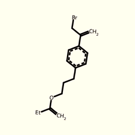 C=C(CC)OCCCc1ccc(C(=C)CBr)cc1